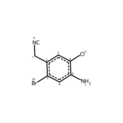 [C-]#[N+]Cc1cc(Cl)c(N)cc1Br